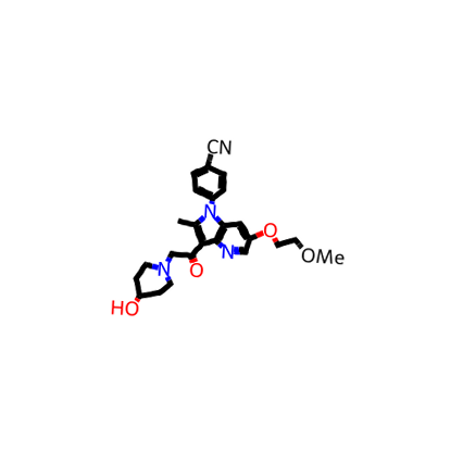 COCCOc1cnc2c(C(=O)CN3CCC(O)CC3)c(C)n(-c3ccc(C#N)cc3)c2c1